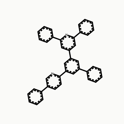 c1ccc(-c2ccc(-c3cc(-c4ccccc4)cc(-c4cc(-c5ccccc5)nc(-c5ccccc5)c4)c3)nc2)cc1